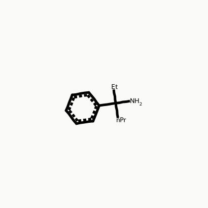 [CH2]CC(N)(CCC)c1ccccc1